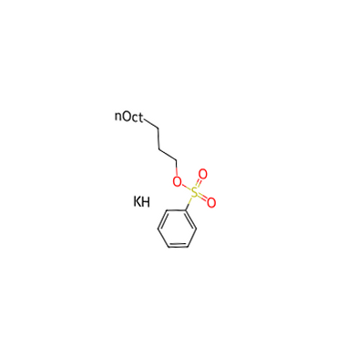 CCCCCCCCCCCOS(=O)(=O)c1ccccc1.[KH]